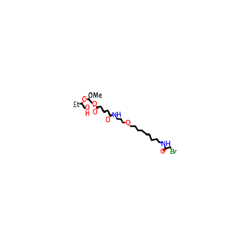 CCC(CO)OC(COC(=O)CCCC(=O)NCCCOCCCCCCCCCNC(=O)CBr)OC